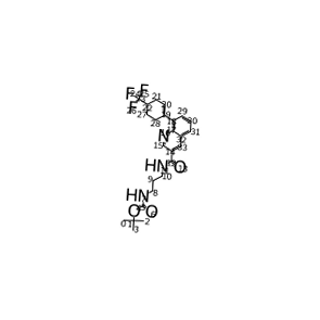 CC(C)(C)OC(=O)NCCCNC(=O)c1cnc2c(C3=CCC(C(F)(F)F)CC3)cccc2c1